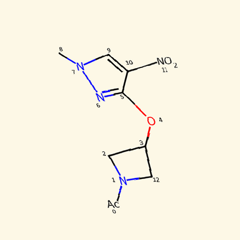 CC(=O)N1CC(Oc2nn(C)cc2[N+](=O)[O-])C1